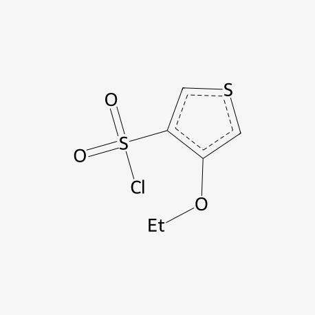 CCOc1cscc1S(=O)(=O)Cl